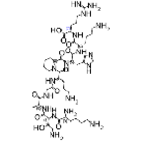 C[C@H](NC(=O)[C@@H](NC(=O)[C@@H](N)CCCCN)[C@@H](O)CN)C(=O)NCC(=O)N[C@H](CCCN)C(=O)N1CCCC[C@H]1C(=O)N[C@@H](Cc1cnc[nH]1)C(=O)N[C@@H](CCCCN)C(=O)N/C(=C\CCNC(=N)N)C(=O)O